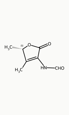 CC1=C(NC=O)C(=O)O[C@H]1C